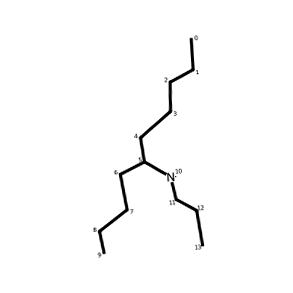 CCCCCC(CCCC)[N]CCC